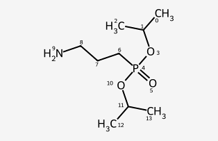 CC(C)OP(=O)(CCCN)OC(C)C